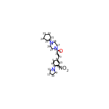 O=C(/C=C/c1ccc(N2CCCC2)c([N+](=O)[O-])c1)N1CCN(C2CCCCC2)CC1